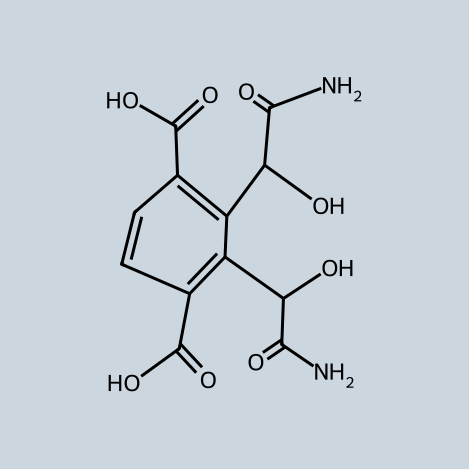 NC(=O)C(O)c1c(C(=O)O)ccc(C(=O)O)c1C(O)C(N)=O